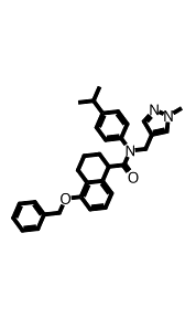 CC(C)c1ccc(N(Cc2cnn(C)c2)C(=O)C2CCCc3c(OCc4ccccc4)cccc32)cc1